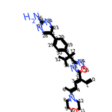 C=C/C(=C\C=C(/C)N1CCOCC1)c1nc(C(C)(c2ccc(-c3cnc(N)nc3)cc2)C(C)C)no1